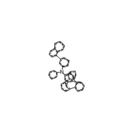 c1ccc(N(c2cccc(-c3cccc4ccccc34)c2)c2ccc3c(c2)-c2c4cccc2-c2cccc-3c2-c2ccccc2-4)cc1